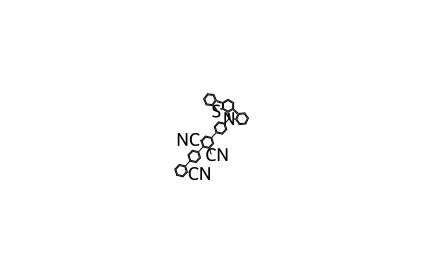 N#Cc1ccccc1-c1ccc(-c2c(C#N)cc(-c3ccc(-n4c5ccccc5c5ccc6c7ccccc7sc6c54)cc3)cc2C#N)cc1